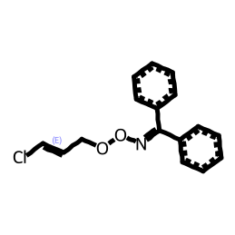 Cl/C=C/COON=C(c1ccccc1)c1ccccc1